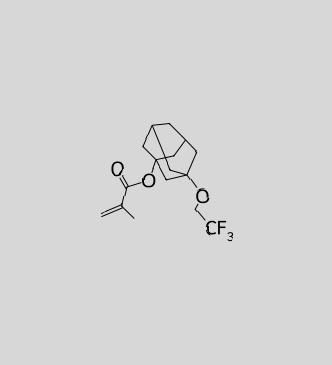 C=C(C)C(=O)OC12CC3CC(CC(OCC(F)(F)F)(C3)C1)C2